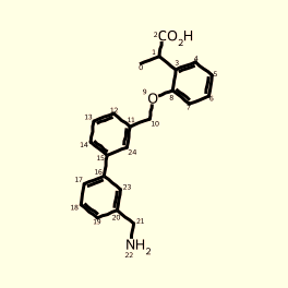 CC(C(=O)O)c1ccccc1OCc1cccc(-c2cccc(CN)c2)c1